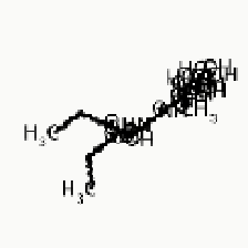 CCCCCCCC/C=C\CCCCCCCC(=O)OC[C@H](COP(=O)(O)OCCNCCCCCC(=O)NCCCO[C@@H]1O[C@H](CO)[C@@H](O[C@@H]2O[C@H](CO)[C@H](O)[C@H](O[C@H]3O[C@H](CO)[C@H](O)[C@H](O)[C@H]3O)[C@H]2O)[C@H](O)[C@H]1NC(C)=O)OC(=O)CCCCCCC/C=C\CCCCCCCC